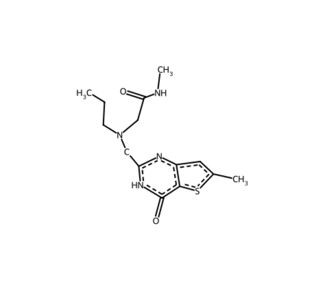 CCCN(CC(=O)NC)Cc1nc2cc(C)sc2c(=O)[nH]1